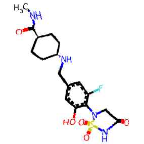 CNC(=O)[C@H]1CC[C@H](NCc2cc(O)c(N3CC(=O)NS3(=O)=O)c(F)c2)CC1